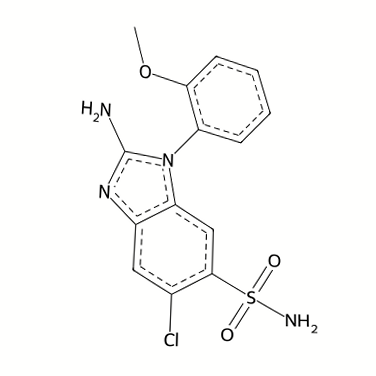 COc1ccccc1-n1c(N)nc2cc(Cl)c(S(N)(=O)=O)cc21